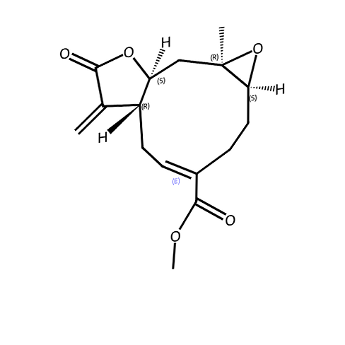 C=C1C(=O)O[C@H]2C[C@@]3(C)O[C@H]3CC/C(C(=O)OC)=C\C[C@H]12